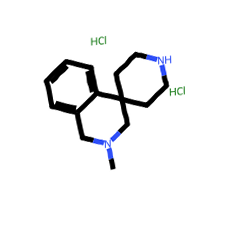 CN1Cc2ccccc2C2(CCNCC2)C1.Cl.Cl